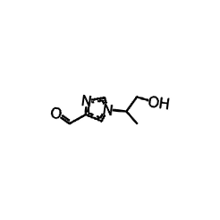 CC(CO)n1cnc(C=O)c1